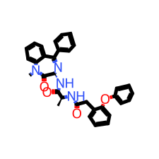 C[C@H](NC(=O)Cc1ccccc1Oc1ccccc1)C(=O)N[C@H]1N=C(c2ccccc2)c2ccccc2N(C)C1=O